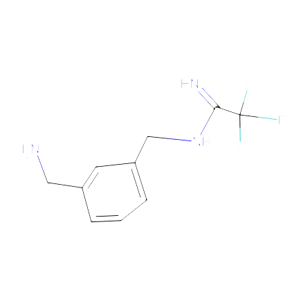 N=C(NCc1cccc(CN)c1)C(F)(F)F